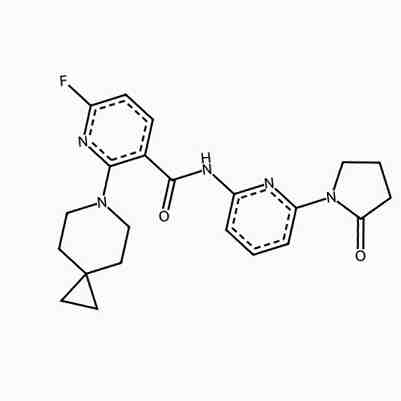 O=C(Nc1cccc(N2CCCC2=O)n1)c1ccc(F)nc1N1CCC2(CC1)CC2